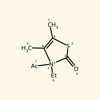 CC[N+]1(C(C)=O)C(=O)SC(C)=C1C